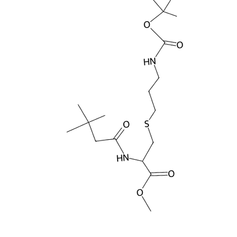 COC(=O)C(CSCCCNC(=O)OC(C)(C)C)NC(=O)CC(C)(C)C